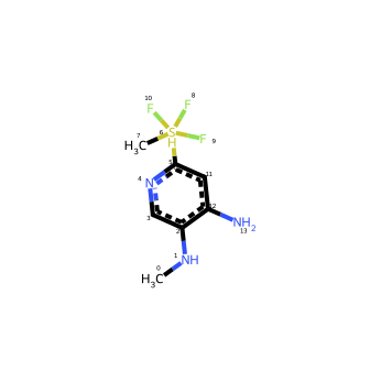 CNc1cnc([SH](C)(F)(F)F)cc1N